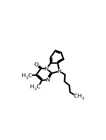 CCCCCn1c2ccccc2n2c(=O)c(C)c(C)nc12